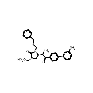 Nc1cccc(-c2ccc(C(=O)C(N)[C@@H]3C[C@@H](CC(=O)O)C(=O)N3CCCc3ccccc3)cc2)c1